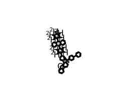 [2H]c1c([2H])c([2H])c(-c2c3ccccc3c(-c3c([2H])c([2H])c(-c4ccc5c6c7oc8ccccc8c7ccc6n(-c6ccc(-c7ccccc7)cc6)c5c4)c([2H])c3[2H])c3ccccc23)c([2H])c1[2H]